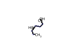 CC/C=C\C/C=C\CC(O)C\C=C/C=C/C=C\C/C=C\CCC(=O)O